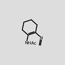 C=NC1=C(NC(C)=O)CCCC1